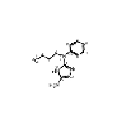 Nc1nnc(N(CCCO)c2ccccc2)[nH]1